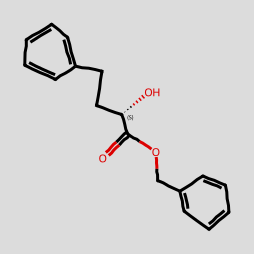 O=C(OCc1ccccc1)[C@@H](O)CCc1ccccc1